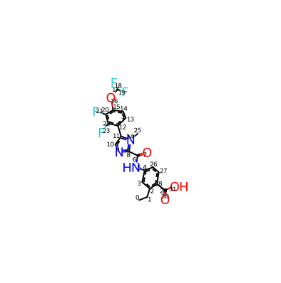 CCc1cc(NC(=O)c2ncc(-c3ccc(OC(F)F)c(F)c3F)n2C)ccc1C(=O)O